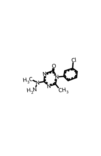 Cc1nc(N(C)N)nc(=O)n1-c1cccc(Cl)c1